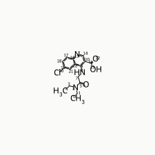 CCN(CC)C(=O)CNc1c(C(=O)O)cnc2ccc(Cl)cc12